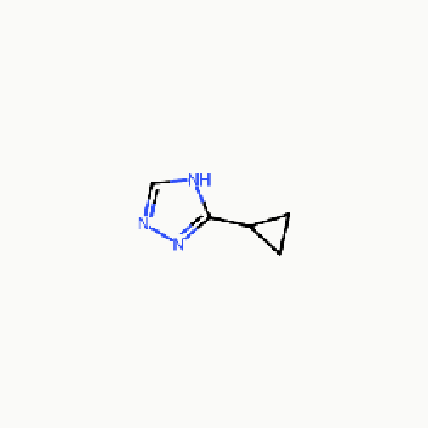 c1nnc([C]2CC2)[nH]1